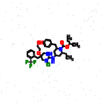 CCC1CC(NC2NCC(Cc3ccccc3C(F)(F)F)(OCCO)CN2Cl)CC(Cc2ccccc2)N1C(=O)OC(C)C